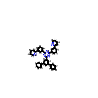 C1=CCCC(c2cc(-c3ccccc3)cc(-c3nc(C4=CCCC(c5ccccn5)=C4)nc(-c4cccc(-c5ccccn5)c4)n3)c2)=C1